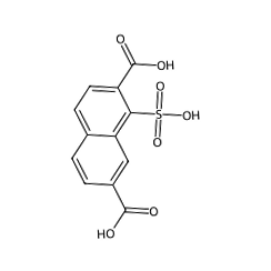 O=C(O)c1ccc2ccc(C(=O)O)c(S(=O)(=O)O)c2c1